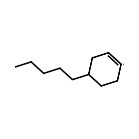 CCCCCC1CC=[C]CC1